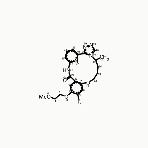 COCCOc1cc2c(cc1F)OCCCC(C)n1cnnc1-c1cccc(n1)NC2=O